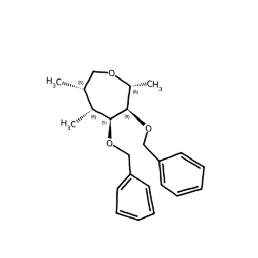 C[C@H]1[C@H](OCc2ccccc2)[C@H](OCc2ccccc2)[C@@H](C)OC[C@H]1C